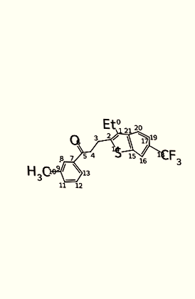 CCc1c(CCC(=O)c2[c]c(C)ccc2)sc2cc(C(F)(F)F)ccc12